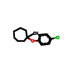 CC1(Oc2ccc(Cl)cc2)CCCCCC1